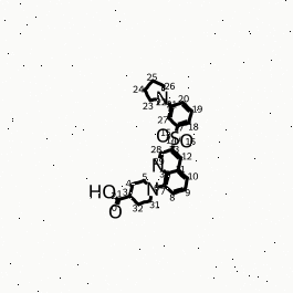 O=C(O)C1CCN(c2cccc3cc(S(=O)(=O)c4cccc(N5CCCC5)c4)cnc23)CC1